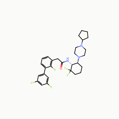 O=C(Cc1cccc(-c2cc(F)cc(F)c2)c1F)N[C@@H]1[C@@H](N2CCN(C3CCCC3)CC2)CCCC1(F)F